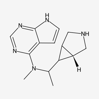 CC(C1C2CNC[C@@H]21)N(C)c1ncnc2[nH]ccc12